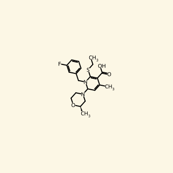 CCSC1=C(C(=O)O)C(C)=CC(N2CCO[C@H](C)C2)N1Cc1cccc(F)c1